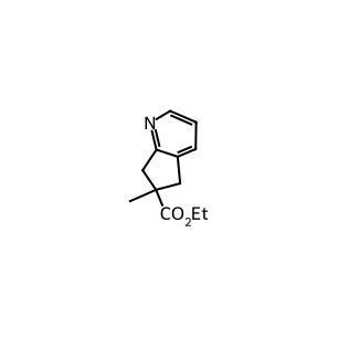 CCOC(=O)C1(C)Cc2cccnc2C1